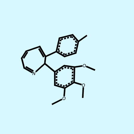 COc1cc(C2N=CC=CC=C2c2ccc(C)cc2)cc(OC)c1OC